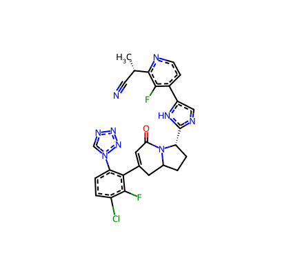 C[C@@H](C#N)c1nccc(-c2cnc([C@@H]3CCC4CC(c5c(-n6cnnn6)ccc(Cl)c5F)=CC(=O)N43)[nH]2)c1F